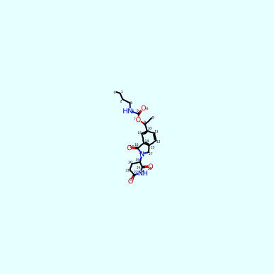 CCCCNC(=O)OC(C)c1ccc2c(c1)C(=O)N(C1CCC(=O)NC1=O)C2